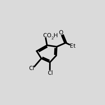 CCC(=O)c1cc(Cl)c(Cl)cc1C(=O)O